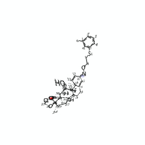 Cc1cccc(SCCO/N=C2\C=C[C@@]3(C)C(=C2)CC[C@H]2[C@@H]4C[C@H](C)[C@@]5(OCOC56COCO6)[C@@]4(C)C[C@H](O)[C@@]23F)c1